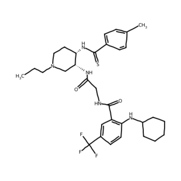 CCCN1CC[C@H](NC(=S)c2ccc(C)cc2)[C@H](NC(=O)CNC(=O)c2cc(C(F)(F)F)ccc2NC2CCCCC2)C1